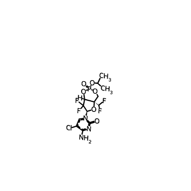 CC(C)OP1(=O)OC[C@@]2(C(F)F)O[C@@H](n3cc(Cl)c(N)nc3=O)C(F)(F)[C@@H]2O1